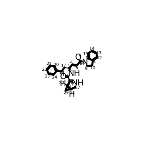 O=C(N[C@H](C=CC(=O)N1CCc2ccccc21)CCc1ccccc1)[C@H]1NC[C@H]2C[C@H]21